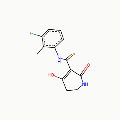 Cc1c(F)cccc1NC(=S)C1=C(O)CCNC1=O